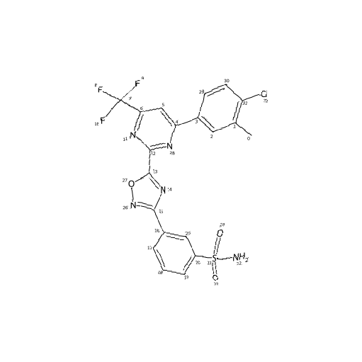 Cc1cc(-c2cc(C(F)(F)F)nc(-c3nc(-c4cccc(S(N)(=O)=O)c4)no3)n2)ccc1Cl